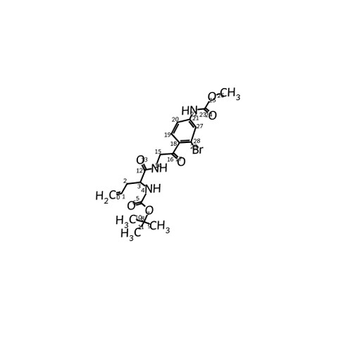 C=CCC(NC(=O)OC(C)(C)C)C(=O)NCC(=O)c1ccc(NC(=O)OC)cc1Br